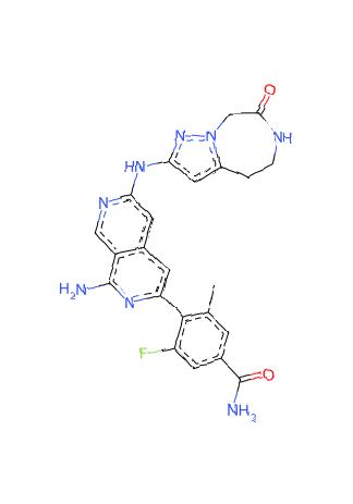 Cc1cc(C(N)=O)cc(F)c1-c1cc2cc(Nc3cc4n(n3)CC(=O)NCC4)ncc2c(N)n1